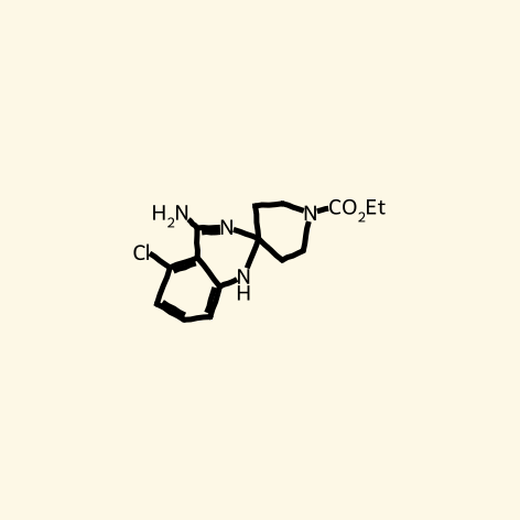 CCOC(=O)N1CCC2(CC1)N=C(N)c1c(Cl)cccc1N2